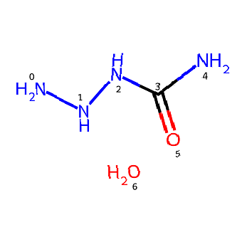 NNNC(N)=O.O